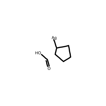 O=CO.[Ag][CH]1CCCC1